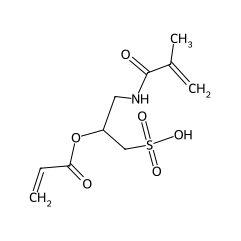 C=CC(=O)OC(CNC(=O)C(=C)C)CS(=O)(=O)O